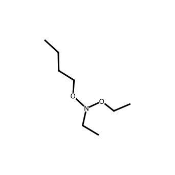 CCCCON(CC)OCC